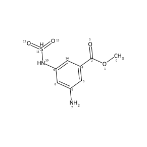 COC(=O)c1cc(N)cc(N[SH](=O)=O)c1